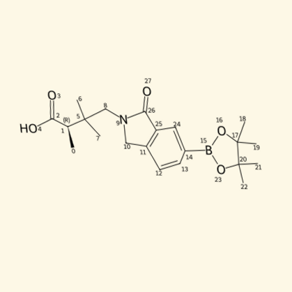 C[C@@H](C(=O)O)C(C)(C)CN1Cc2ccc(B3OC(C)(C)C(C)(C)O3)cc2C1=O